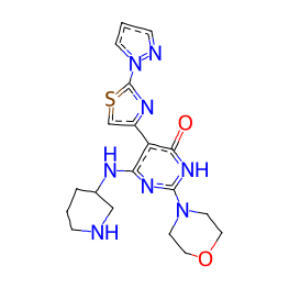 O=c1[nH]c(N2CCOCC2)nc(NC2CCCNC2)c1-c1csc(-n2cccn2)n1